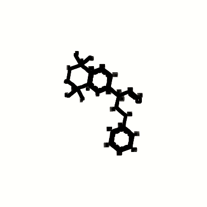 CC1(C)CCC(C)(C)c2cc([C@@H](C=O)CCc3ccccc3)ccc21